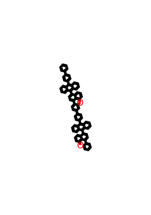 c1ccc(-c2ccc(-c3c4ccccc4c(-c4ccc5c6c(cccc46)Oc4cc(-c6ccc(-c7c8ccccc8c(-c8ccc9c%10c(cccc8%10)Oc8ccccc8-9)c8ccccc78)cc6)ccc4-5)c4ccccc34)cc2)cc1